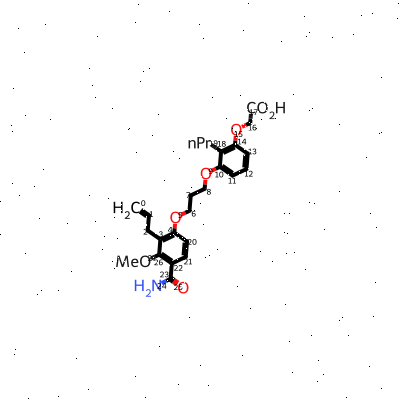 C=CCc1c(OCCCOc2cccc(OCC(=O)O)c2CCC)ccc(C(N)=O)c1OC